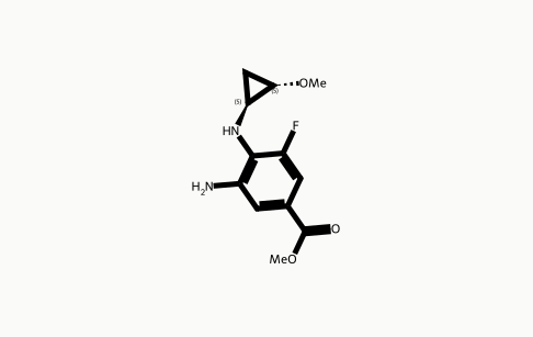 COC(=O)c1cc(N)c(N[C@H]2C[C@@H]2OC)c(F)c1